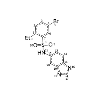 CCc1ccc(Br)cc1S(=O)(=O)Nc1ccc2nsnc2c1